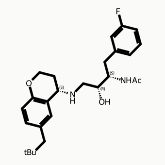 CC(=O)N[C@@H](Cc1cccc(F)c1)[C@H](O)CN[C@H]1CCOc2ccc(CC(C)(C)C)cc21